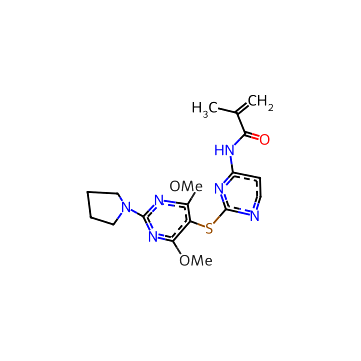 C=C(C)C(=O)Nc1ccnc(Sc2c(OC)nc(N3CCCC3)nc2OC)n1